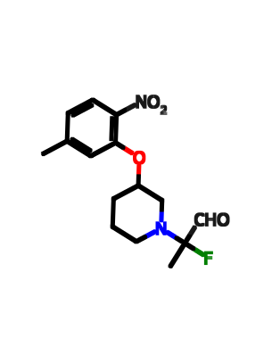 Cc1ccc([N+](=O)[O-])c(OC2CCCN(C(C)(F)C=O)C2)c1